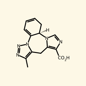 Cc1nnn2c1Cc1c(C(=O)O)ncn1[C@@H]1CC=CC=C12